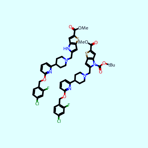 COC(=O)c1cc2[nH]c(CN3CCC(c4cccc(OCc5ccc(Cl)cc5F)n4)CC3)cc2s1.COC(=O)c1cc2c(cc(CN3CCC(c4cccc(OCc5ccc(Cl)cc5F)n4)CC3)n2C(=O)OC(C)(C)C)s1